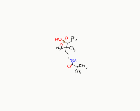 [CH2]CC(C(C)(C)CCCNC(=O)C(=C)C)S(=O)(=O)O